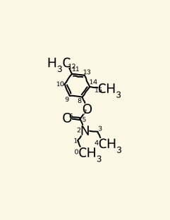 CCN(CC)C(=O)Oc1ccc(C)cc1C